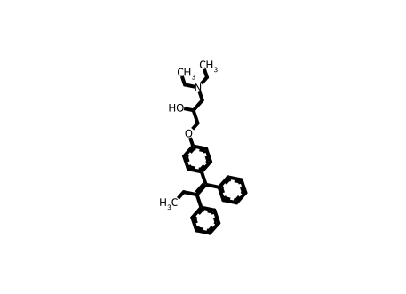 CCC(=C(c1ccccc1)c1ccc(OCC(O)CN(CC)CC)cc1)c1ccccc1